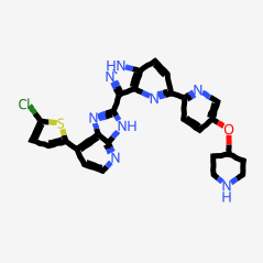 Clc1ccc(-c2ccnc3[nH]c(-c4n[nH]c5ccc(-c6ccc(OC7CCNCC7)cn6)nc45)nc23)s1